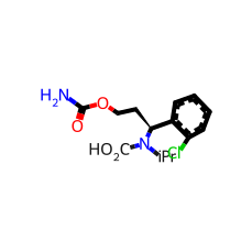 CC(C)N(C(=O)O)[C@@H](CCOC(N)=O)c1ccccc1Cl